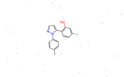 Cc1ccc(-n2nccc2-c2ccc(F)cc2O)cc1